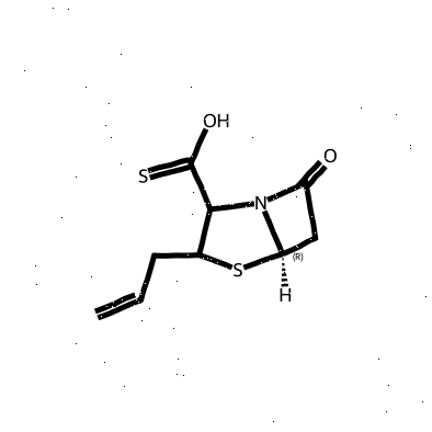 C=CCC1S[C@@H]2CC(=O)N2C1C(O)=S